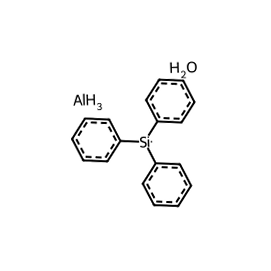 O.[AlH3].c1ccc([Si](c2ccccc2)c2ccccc2)cc1